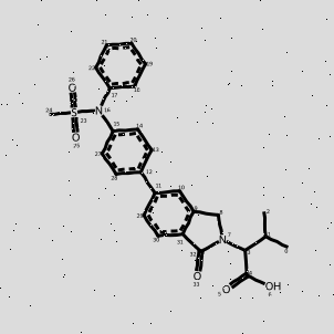 CC(C)C(C(=O)O)N1Cc2cc(-c3ccc(N(c4ccccc4)S(C)(=O)=O)cc3)ccc2C1=O